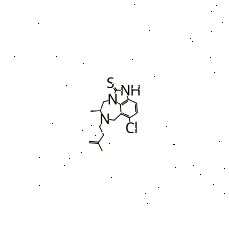 C=C(C)CCN1Cc2c(Cl)ccc3[nH]c(=S)n(c23)C[C@@H]1C